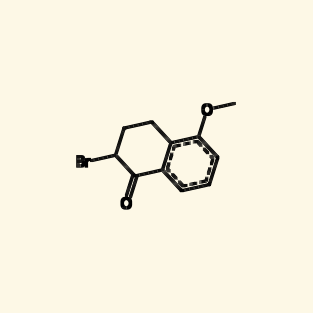 COc1cccc2c1CCC(Br)C2=O